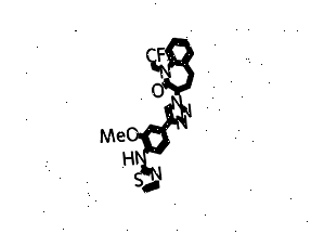 COc1cc(-c2cn(C3CCc4ccccc4N(CC(F)(F)F)C3=O)nn2)ccc1Nc1nccs1